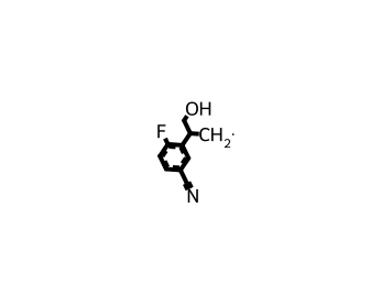 [CH2]C(CO)c1cc(C#N)ccc1F